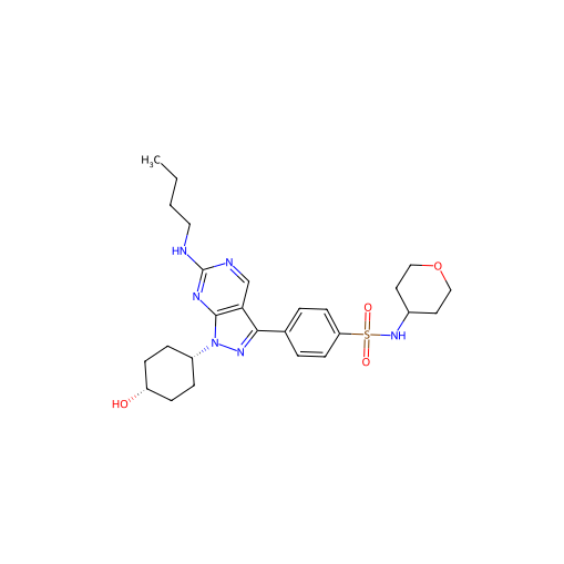 CCCCNc1ncc2c(-c3ccc(S(=O)(=O)NC4CCOCC4)cc3)nn([C@H]3CC[C@@H](O)CC3)c2n1